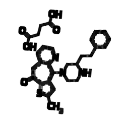 Cc1cc2c(N3CCNC(CCc4ccccc4)C3)c3ncccc3cc(=O)c2s1.O=C(O)CCC(=O)O